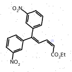 CCOC(=O)/C=C\C=C(c1cccc([N+](=O)[O-])c1)c1cccc([N+](=O)[O-])c1